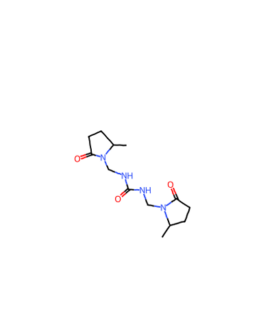 CC1CCC(=O)N1CNC(=O)NCN1C(=O)CCC1C